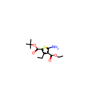 CCOC(=O)c1c(N)sc(C(=O)OC(C)(C)C)c1CC